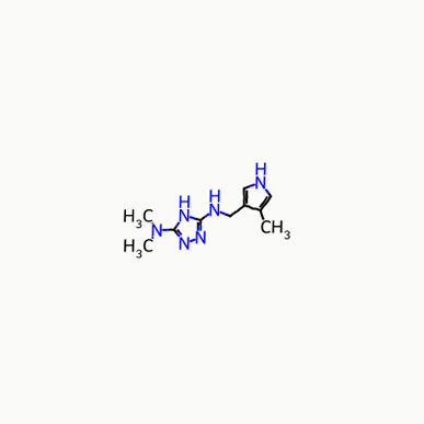 Cc1c[nH]cc1CNc1nnc(N(C)C)[nH]1